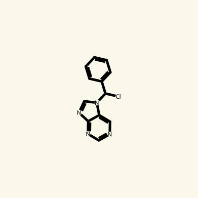 ClC(c1ccccc1)n1cnc2ncncc21